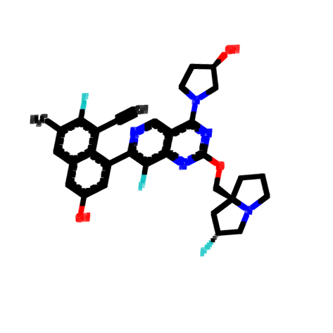 C#Cc1c(F)c(C)cc2cc(O)cc(-c3ncc4c(N5CC[C@@H](O)C5)nc(OC[C@@]56CCCN5C[C@H](F)C6)nc4c3F)c12